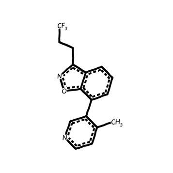 Cc1ccncc1-c1cccc2c(CCC(F)(F)F)noc12